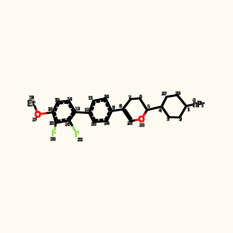 CCCC1CCC(C2CCC(c3ccc(-c4ccc(OCC)c(F)c4F)cc3)=CO2)CC1